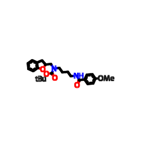 COc1ccc(C(=O)NCCCCN(CC2Cc3ccccc3O2)C(=O)OC(C)(C)C)cc1